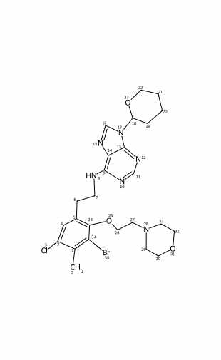 Cc1c(Cl)cc(CCNc2ncnc3c2ncn3C2CCCCO2)c(OCCN2CCOCC2)c1Br